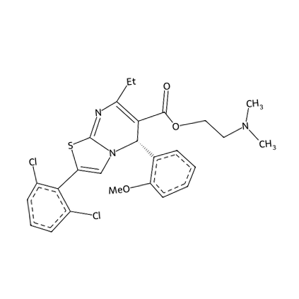 CCC1=C(C(=O)OCCN(C)C)[C@H](c2ccccc2OC)N2C=C(c3c(Cl)cccc3Cl)SC2=N1